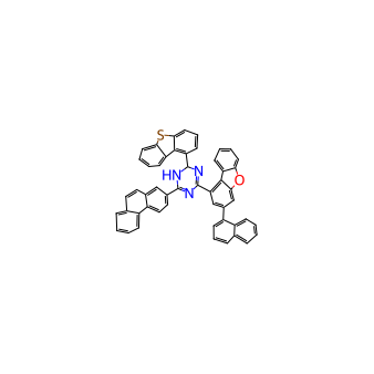 c1ccc2c(-c3cc(C4=NC(c5cccc6sc7ccccc7c56)NC(c5ccc6c(ccc7ccccc76)c5)=N4)c4c(c3)oc3ccccc34)cccc2c1